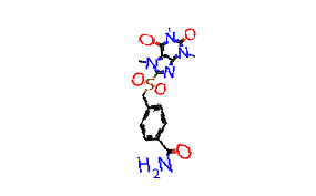 Cn1c(=O)c2c(nc(S(=O)(=O)Cc3ccc(C(N)=O)cc3)n2C)n(C)c1=O